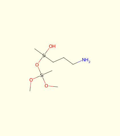 CO[Si](C)(OC)O[Si](C)(O)CCCN